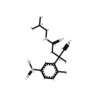 Cc1ccc([N+](=O)[O-])cc1C(C)(C#N)CC(=O)OCC(C)C